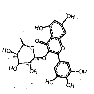 CC1O[C@@H](Oc2c(-c3cc(O)c(O)c(O)c3)oc3cc(O)cc(O)c3c2=O)[C@@H](O)C(O)[C@H]1O